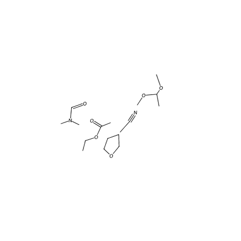 C1CCOC1.CC#N.CCOC(C)=O.CN(C)C=O.COC(C)OC